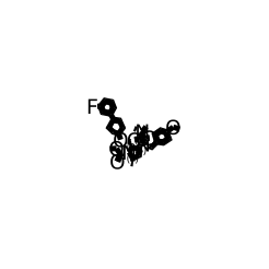 COC(=O)N1[C@H](C)C[C@H](N(Cc2ccc(OC)cc2)S(=O)(=O)N(C)C)[C@@H]1COC1CC=C(c2cccc(F)c2)CC1